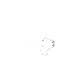 Cn1ncc2ccc(Br)c(F)c21